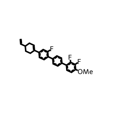 C=CC1CC=C(c2ccc(-c3ccc(-c4ccc(OC)c(F)c4F)cc3)c(F)c2)CC1